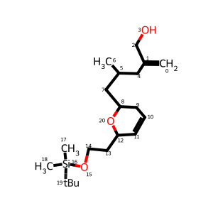 C=C(CO)CC(C)CC1CC=CC(CCO[Si](C)(C)C(C)(C)C)O1